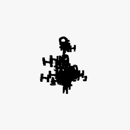 CC[C@H](C)[C@@H]([C@@H](CC(=O)N1CCC[C@H]1[C@H](OC)[C@@H](C)C(=O)N[C@@H](CC(C)C)C(=O)NS(=O)(=O)C1CC1)OC)N(C)C(=O)CNC(=O)C(C(C)C)N(C)C(=O)OCc1ccc(NC(=O)[C@H](C)NC(=O)CCCCCNc2nc3nc(n2)SC2CCCCCCCC(C2)S3)cc1